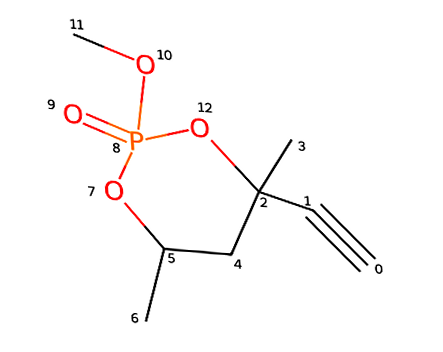 C#CC1(C)CC(C)OP(=O)(OC)O1